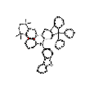 CC1(C)CCC(C)(C)c2cc(-c3cc4c(cc3N(c3ccccc3)c3ccc5sc6ccccc6c5c3)C(c3ccccc3)(c3ccccc3)c3ccccc3-4)ccc21